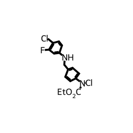 CCOC(=O)N(Cl)c1ccc(CNc2ccc(Cl)c(F)c2)cc1